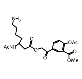 COC(=O)c1cc(C(=O)COC(=O)CC(CCCCN)NC(C)=O)ccc1OC(C)=O